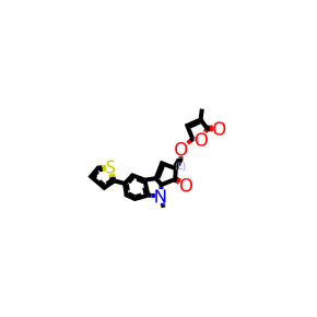 CC1=CC(O/C=C2\C=C3c4cc(-c5cccs5)ccc4N(C)C3C2=O)OC1=O